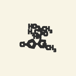 CN1C[C@@H](NC(=O)C(C)(C)CO)[C@H](c2ccc(Cl)cc2)C1